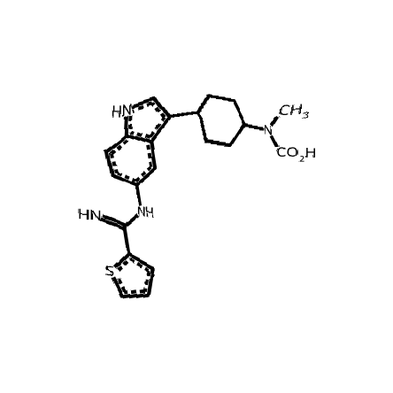 CN(C(=O)O)C1CCC(c2c[nH]c3ccc(NC(=N)c4cccs4)cc23)CC1